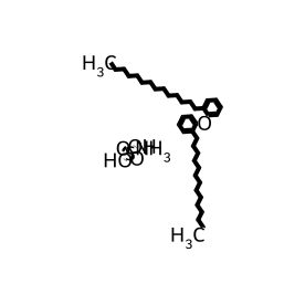 CCCCCCCCCCCCCCc1ccccc1Oc1ccccc1CCCCCCCCCCCCCC.N.O=S(=O)(O)O